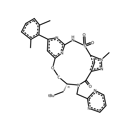 Cc1cccc(C)c1-c1cc2nc(n1)NS(=O)(=O)c1cc(nn1C)C(=O)N(Cc1ncccn1)[C@H](CC(C)(C)C)CO2